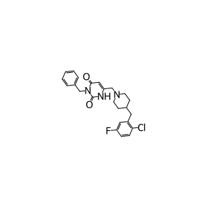 O=c1cc(CN2CCC(Cc3cc(F)ccc3Cl)CC2)[nH]c(=O)n1Cc1ccccc1